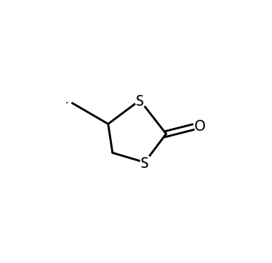 [CH2]C1CSC(=O)S1